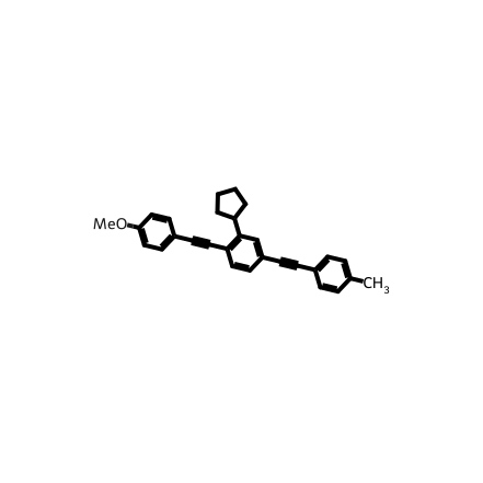 COc1ccc(C#Cc2ccc(C#Cc3ccc(C)cc3)cc2C2CCCC2)cc1